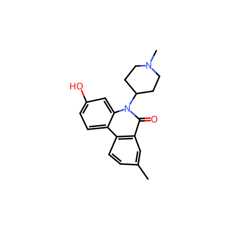 Cc1ccc2c(c1)c(=O)n(C1CCN(C)CC1)c1cc(O)ccc21